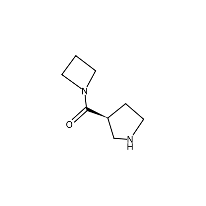 O=C([C@H]1CCNC1)N1CCC1